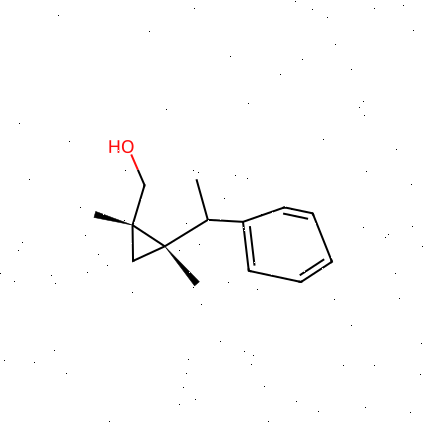 CC(c1ccccc1)[C@]1(C)C[C@]1(C)CO